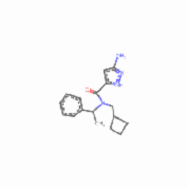 CC(c1ccccc1)N(CC1CCC1)C(=O)c1cc(N)n[nH]1